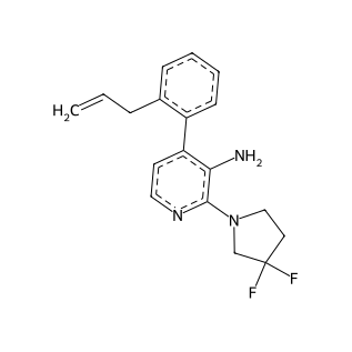 C=CCc1ccccc1-c1ccnc(N2CCC(F)(F)C2)c1N